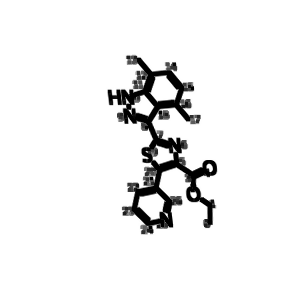 CCOC(=O)c1nc(-c2n[nH]c3c(C)ccc(C)c23)sc1-c1cccnc1